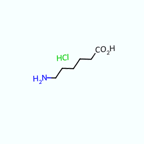 Cl.NCCCCCC(=O)O